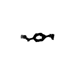 CNc1ccc(SO)cc1